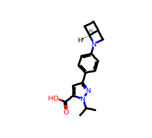 CC(C)n1nc(-c2ccc(N3CC4CC[C@@H]43)cc2)cc1C(=O)O